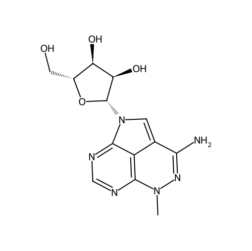 CN1N=C(N)c2cn([C@@H]3O[C@H](CO)[C@@H](O)[C@H]3O)c3ncnc1c23